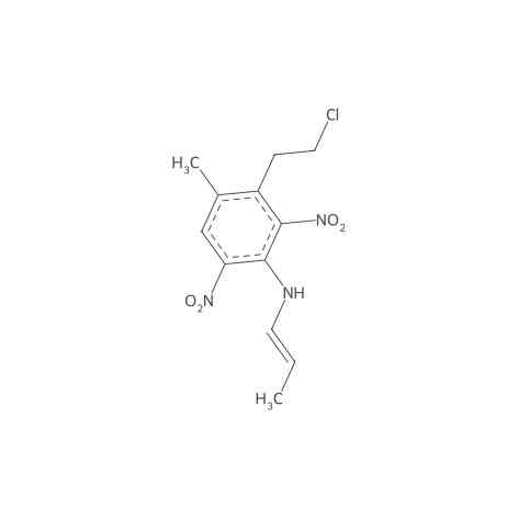 CC=CNc1c([N+](=O)[O-])cc(C)c(CCCl)c1[N+](=O)[O-]